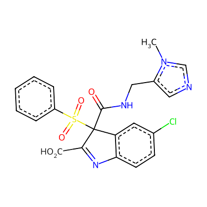 Cn1cncc1CNC(=O)C1(S(=O)(=O)c2ccccc2)C(C(=O)O)=Nc2ccc(Cl)cc21